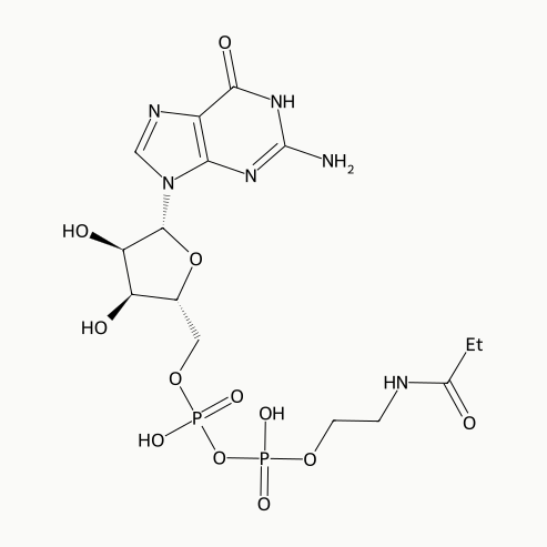 CCC(=O)NCCOP(=O)(O)OP(=O)(O)OC[C@H]1O[C@@H](n2cnc3c(=O)[nH]c(N)nc32)[C@H](O)[C@@H]1O